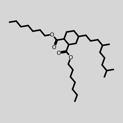 CCCCCCCOC(=O)C1CCC(CCCC(C)CCCC(C)C)CC1C(=O)OCCCCCCC